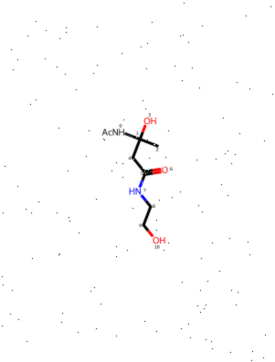 CC(=O)NC(C)(O)CC(=O)NCCO